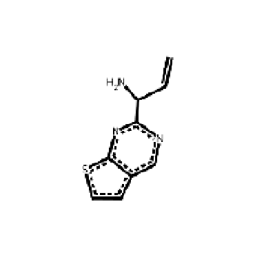 C=CC(N)c1ncc2ccsc2n1